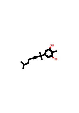 Cc1c(O)cc(C(C)(C)C#CCCC(C)C)cc1O